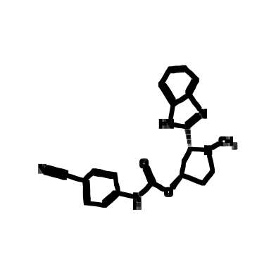 CN1CC[C@@H](OC(=O)Nc2ccc(C#N)cc2)C[C@@H]1c1nc2ccccc2[nH]1